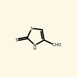 O=Cc1csc(=S)[nH]1